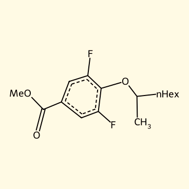 CCCCCCC(C)Oc1c(F)cc(C(=O)OC)cc1F